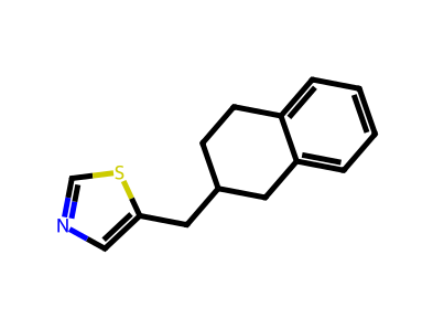 c1ccc2c(c1)CCC(Cc1cncs1)C2